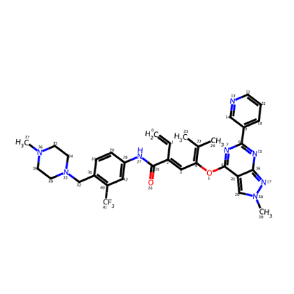 C=C/C(=C\C(Oc1nc(-c2cccnc2)nc2nn(C)cc12)=C(C)C)C(=O)Nc1ccc(CN2CCN(C)CC2)c(C(F)(F)F)c1